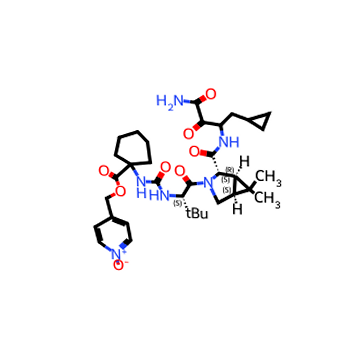 CC(C)(C)[C@H](NC(=O)NC1(C(=O)OCc2cc[n+]([O-])cc2)CCCCC1)C(=O)N1C[C@H]2[C@@H]([C@H]1C(=O)NC(CC1CC1)C(=O)C(N)=O)C2(C)C